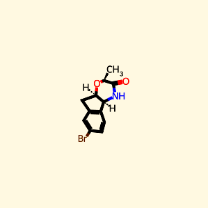 C[C@@H]1O[C@@H]2Cc3cc(Br)ccc3[C@@H]2NC1=O